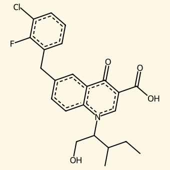 CCC(C)C(CO)n1cc(C(=O)O)c(=O)c2cc(Cc3cccc(Cl)c3F)ccc21